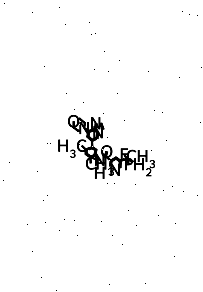 Cc1cc(C)c(-c2cc(N3CCOCC3)c3nccn3c2)cc1NC(=O)c1cncc(C(C)(F)P)c1